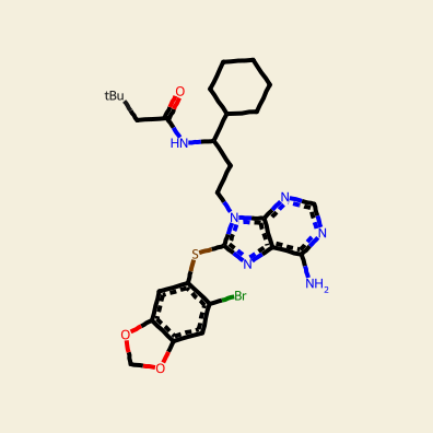 CC(C)(C)CC(=O)NC(CCn1c(Sc2cc3c(cc2Br)OCO3)nc2c(N)ncnc21)C1CCCCC1